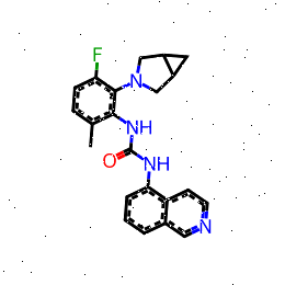 Cc1ccc(F)c(N2CC3CC3C2)c1NC(=O)Nc1cccc2cnccc12